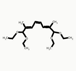 CCOC(OCC)/C(C)=C/C=C\C=C(/C)C(OCC)OCC